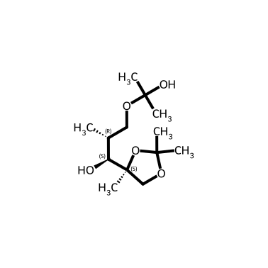 C[C@H](COC(C)(C)O)[C@H](O)[C@]1(C)COC(C)(C)O1